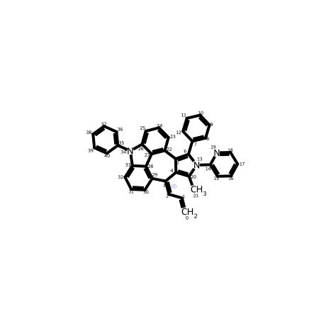 C=C/C=C1\c2c(c(-c3ccccc3)n(-c3ccccn3)c2C)-c2cccc3c2c2c1cccc2n3-c1ccccc1